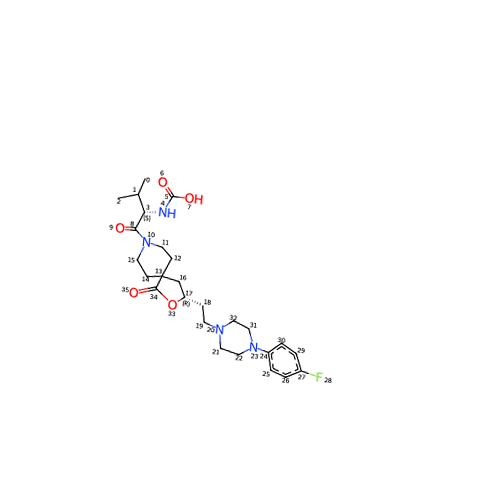 CC(C)[C@H](NC(=O)O)C(=O)N1CCC2(CC1)C[C@H](CCN1CCN(c3ccc(F)cc3)CC1)OC2=O